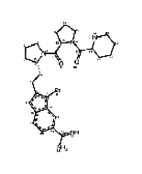 CCn1c(CC[C@@H]2CCCN2C(=O)[C@H]2CCCN2C(=O)C2CCCCN2)cc2ccc(C(=N)N)cc21